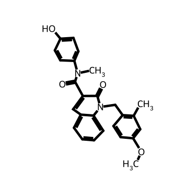 COc1ccc(Cn2c(=O)c(C(=O)N(C)c3ccc(O)cc3)cc3ccccc32)c(C)c1